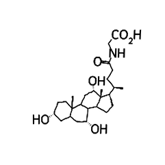 C[C@H](CCC(=O)NCC(=O)O)[C@H]1CCC2C3C(C[C@H](O)[C@@]21C)[C@@]1(C)CC[C@@H](O)CC1C[C@H]3O